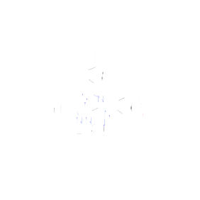 CCCc1nn(C)c2c(Nc3ccc4c(c3)OCO4)nc(-c3ccc(F)cc3)nc12.Cl